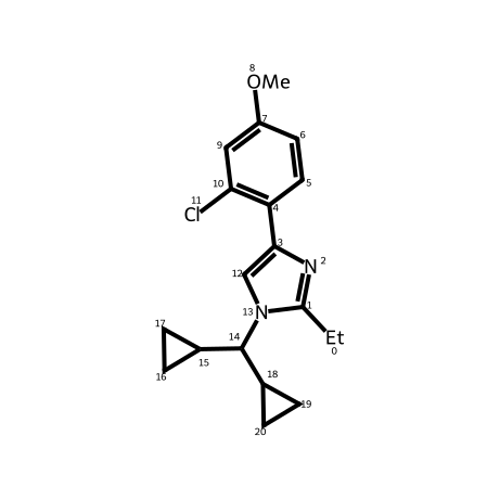 CCc1nc(-c2ccc(OC)cc2Cl)cn1C(C1CC1)C1CC1